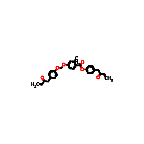 C=CC(=O)Cc1ccc(OCOc2ccc(C(=O)Oc3ccc(CC(=O)C=C)cc3)c(C)c2)cc1